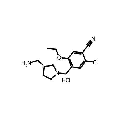 CCOc1cc(C#N)c(Cl)cc1CN1CC[C@@H](CN)C1.Cl